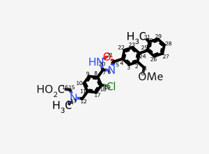 COCc1cc(C2=NC(c3ccc(CN(C)CC(=O)O)cc3Cl)NO2)ccc1-c1ccccc1C